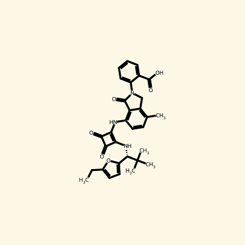 CCc1ccc([C@H](Nc2c(Nc3ccc(C)c4c3C(=O)N(c3ccccc3C(=O)O)C4)c(=O)c2=O)C(C)(C)C)o1